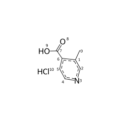 Cc1cnccc1C(=O)O.Cl